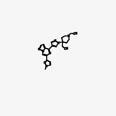 Cn1ccc(-c2cn3nccc3c(-c3cnn(C4(CC#N)CCN(CC#N)CC4)c3)n2)n1